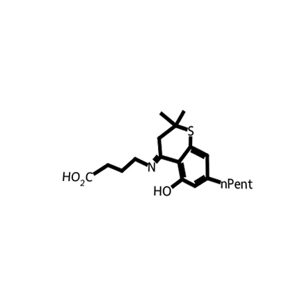 CCCCCc1cc(O)c2c(c1)SC(C)(C)CC2=NCCCC(=O)O